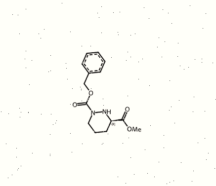 COC(=O)[C@H]1CCCN(C(=O)OCc2ccccc2)N1